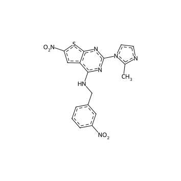 Cc1nccn1-c1nc(NCc2cccc([N+](=O)[O-])c2)c2cc([N+](=O)[O-])sc2n1